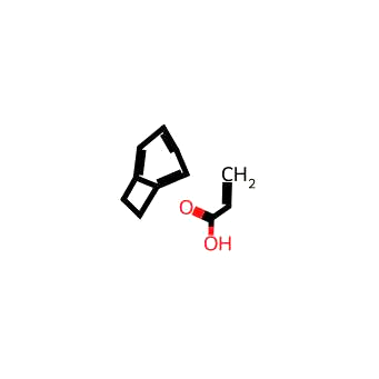 C=CC(=O)O.c1ccc2c(c1)CC2